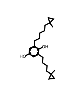 CC1(CCCCCc2cc(O)cc(CCCCC3(C)CC3)c2O)CC1